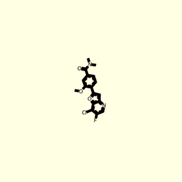 COc1cc(C(=O)N(C)C)ccc1-c1cc2ncc(F)c(Cl)c2o1